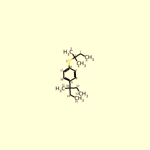 CCC(C)(C)Sc1ccc(C(C)(CC)CC)cc1